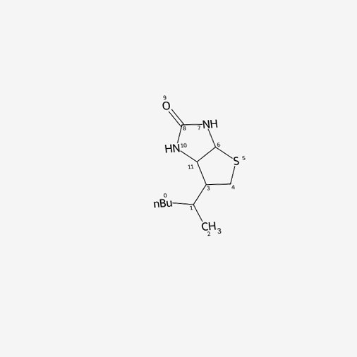 CCCCC(C)C1CSC2NC(=O)NC21